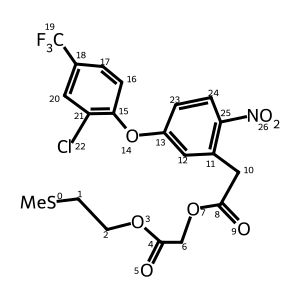 CSCCOC(=O)COC(=O)Cc1cc(Oc2ccc(C(F)(F)F)cc2Cl)ccc1[N+](=O)[O-]